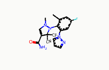 Cc1cc(F)cc(-n2cccn2)c1N1N(C)C=C(C(N)=O)C1(C#N)C(F)(F)F